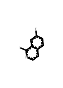 Fc1ccc2ccnc(I)c2c1